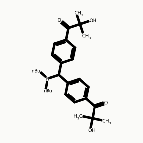 CCCCN(CCCC)C(c1ccc(C(=O)C(C)(C)O)cc1)c1ccc(C(=O)C(C)(C)O)cc1